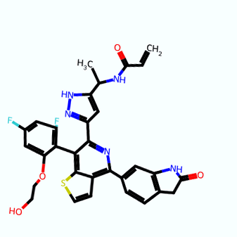 C=CC(=O)NC(C)c1cc(-c2nc(-c3ccc4c(c3)NC(=O)C4)c3ccsc3c2-c2c(F)cc(F)cc2OCCO)n[nH]1